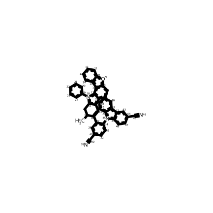 CC1Cc2c(c3ccc4oc5ccccc5c4c3n2-c2ccccc2)C=C1c1cc(C#N)ccc1-n1c2ccccc2c2cc(C#N)ccc21